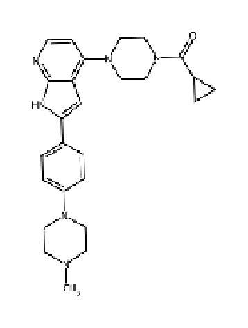 CN1CCN(c2ccc(-c3cc4c(N5CCN(C(=O)C6CC6)CC5)ccnc4[nH]3)cc2)CC1